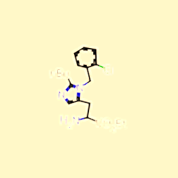 CCCCc1ncc(CC(N)C(=O)OCC)n1Cc1ccccc1Cl